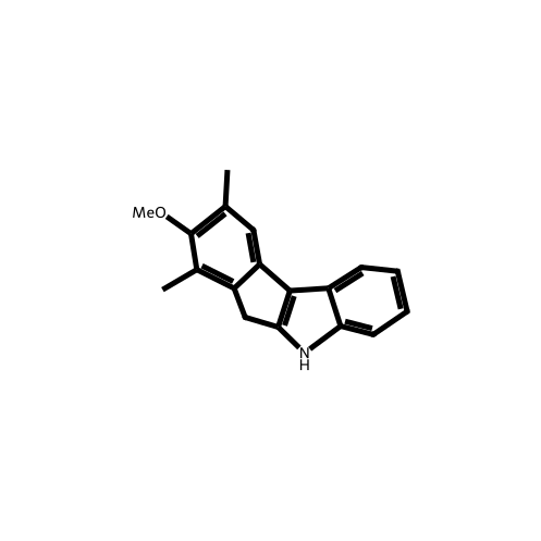 COc1c(C)cc2c(c1C)Cc1[nH]c3ccccc3c1-2